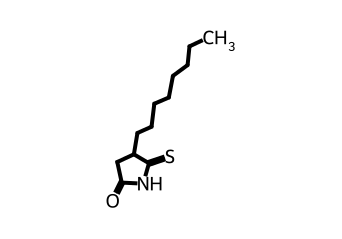 CCCCCCCCC1CC(=O)NC1=S